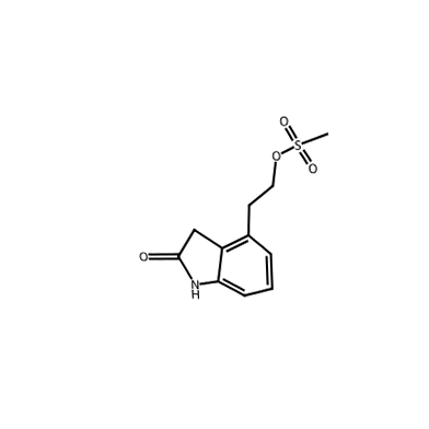 CS(=O)(=O)OCCc1cccc2c1CC(=O)N2